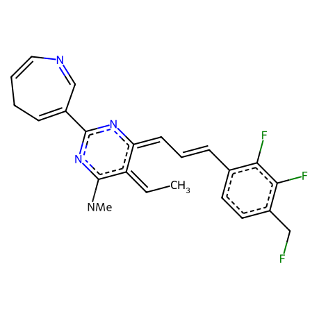 C/C=c1/c(NC)nc(C2=CCC=CN=C2)n/c1=C/C=C/c1ccc(CF)c(F)c1F